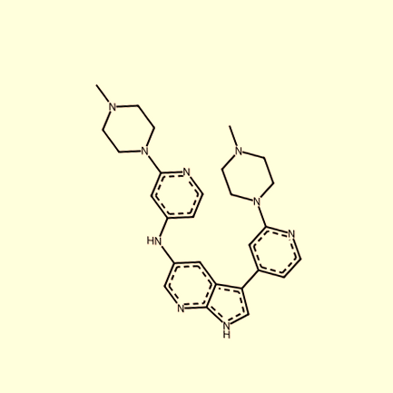 CN1CCN(c2cc(Nc3cnc4[nH]cc(-c5ccnc(N6CCN(C)CC6)c5)c4c3)ccn2)CC1